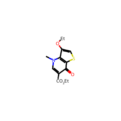 CCOC(=O)c1cn(C)c2c(OCC)csc2c1=O